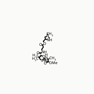 COC(=O)[C@H](C)N[P@@]1(=O)OCC(C)(C)[C@H](C(=O)NCCC(=O)OCC2CN(C)CN2)O1